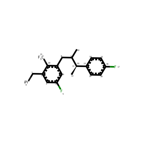 CC(C)Cc1cc(F)cc(CC(C)[C@H](C)c2ccc(F)cc2)c1C(F)(F)F